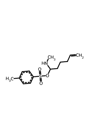 C=CCCCC(NC)OS(=O)(=O)c1ccc(C)cc1